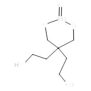 CCCC1(CCC)CO[PH](=O)OC1